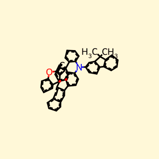 CC1(C)c2ccccc2-c2ccc(N(c3ccc4c(c3)C3(c5ccccc5Oc5ccccc53)c3cc5ccccc5cc3-4)c3ccccc3-c3ccccc3)cc21